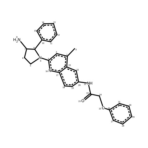 Cc1cc(N2CCC(N)C2c2ccccc2)nc2ccc(NC(=O)COc3ccccc3)cc12